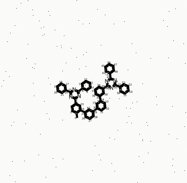 Cc1ccc(-c2nc(-c3ccccc3)nc(-c3ccccc3)n2)cc1-c1cccc(-c2cccc(-c3cccc(-c4nc(-c5ccccc5)nc(-c5ccccc5)n4)c3)c2)c1